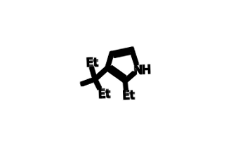 CCc1[nH]ccc1C(C)(CC)CC